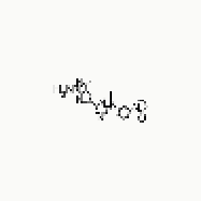 Cc1nn(N)c2ncc(-c3cncc(Nc4cccc(N5CCCC5=O)c4)n3)cc12